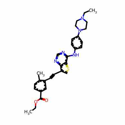 CCOC(=O)c1ccc(C)c(C#Cc2csc3c(Nc4ccc(N5CCN(CC)CC5)cc4)ncnc23)c1